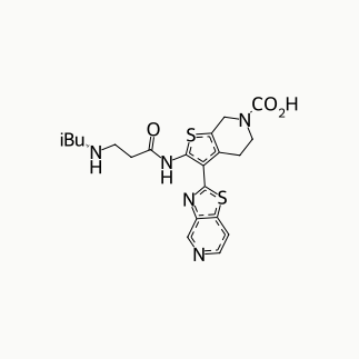 CC[C@@H](C)NCCC(=O)Nc1sc2c(c1-c1nc3cnccc3s1)CCN(C(=O)O)C2